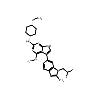 COc1nc(N[C@H]2CC[C@@H](OC)CC2)nc2[nH]cc(-c3cnc4nc(C)n(CC(F)F)c4c3)c12